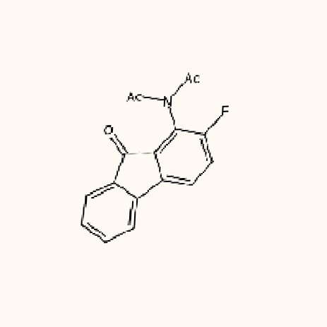 CC(=O)N(C(C)=O)c1c(F)ccc2c1C(=O)c1ccccc1-2